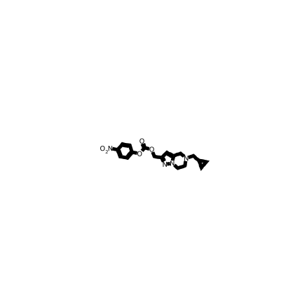 O=C(OCc1cc2n(n1)CCN(CC1CC1)C2)Oc1ccc([N+](=O)[O-])cc1